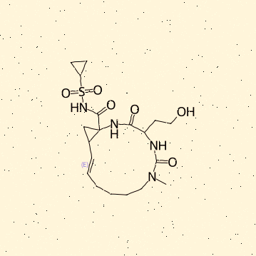 CN1CCCC/C=C/C2CC2(C(=O)NS(=O)(=O)C2CC2)NC(=O)C(CCO)NC1=O